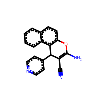 N#CC1=C(N)Oc2ccc3ccccc3c2C1c1ccncc1